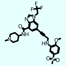 COc1ccc(S(C)(=O)=O)cc1NCC#Cc1cc(C(=O)NC2CCN(C)CC2)c2ncn(CC(F)(F)F)c2c1